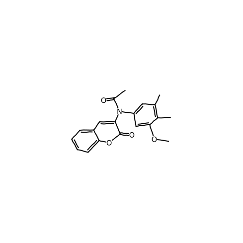 COc1cc(N(C(C)=O)c2cc3ccccc3oc2=O)cc(C)c1C